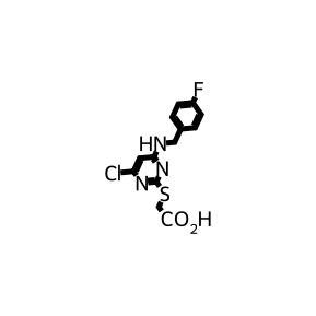 O=C(O)CSc1nc(Cl)cc(NCc2ccc(F)cc2)n1